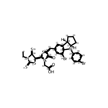 CCN1C(=S)S/C(=c2/s/c(=C/c3cc(Br)c4c(c3)[C@@H]3CCC[C@@H]3N4c3ccc(Br)cc3)c(=O)n2CC(=O)O)C1=S